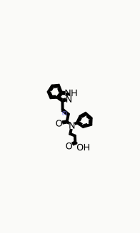 O=C(O)CCN(C(=O)/C=C/c1n[nH]c2ccccc12)c1ccccc1